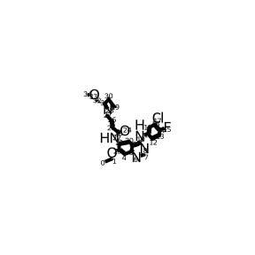 CCOc1cc2ncnc(Nc3ccc(F)c(Cl)c3)c2cc1NC(=O)C=CCN1CC[C@H]1COC